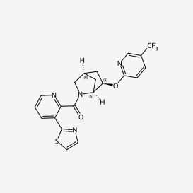 O=C(c1ncccc1-c1nccs1)N1C[C@H]2C[C@@H](Oc3ccc(C(F)(F)F)cn3)[C@@H]1C2